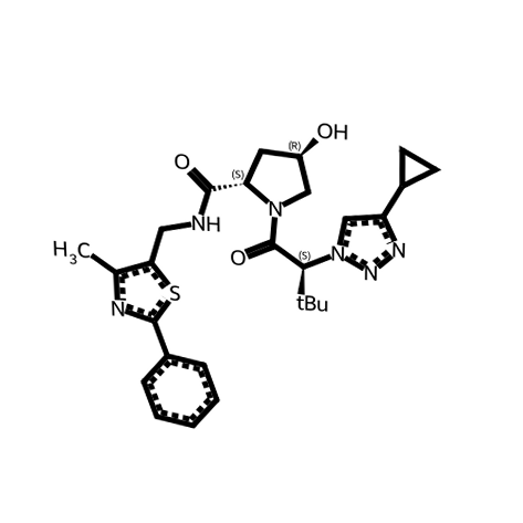 Cc1nc(-c2ccccc2)sc1CNC(=O)[C@@H]1C[C@@H](O)CN1C(=O)[C@@H](n1cc(C2CC2)nn1)C(C)(C)C